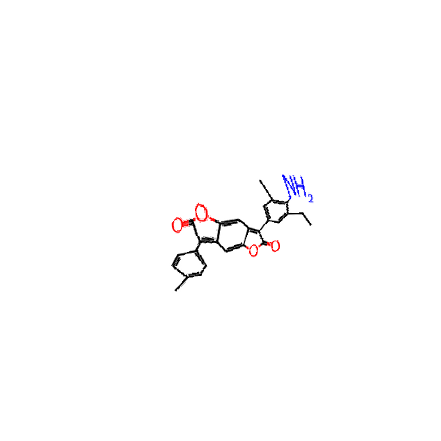 CCc1cc(C2=c3cc4c(cc3OC2=O)=C(c2ccc(C)cc2)C(=O)O4)cc(C)c1N